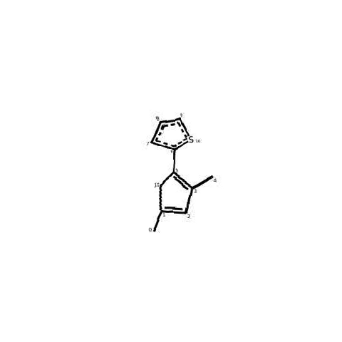 CC1=CC(C)=C(c2cccs2)C1